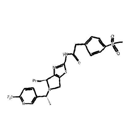 CC(C)[C@H]1c2nc(NC(=O)Cc3ccc(S(C)(=O)=O)cc3)sc2CN1[C@H](C)c1ccc(C(F)(F)F)nc1